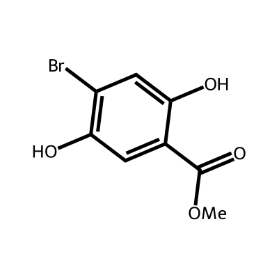 COC(=O)c1cc(O)c(Br)cc1O